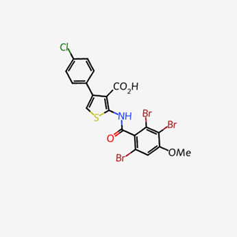 COc1cc(Br)c(C(=O)Nc2scc(-c3ccc(Cl)cc3)c2C(=O)O)c(Br)c1Br